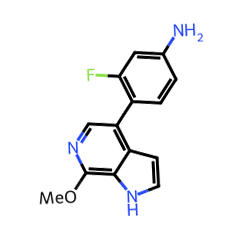 COc1ncc(-c2ccc(N)cc2F)c2cc[nH]c12